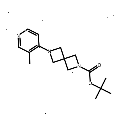 Cc1cnccc1N1CC2(CN(C(=O)OC(C)(C)C)C2)C1